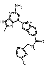 Cc1nc2c(-c3cc4cc(C(=O)N(C)Cc5cccc(Cl)c5)ccc4[nH]3)cc(N)nc2[nH]1